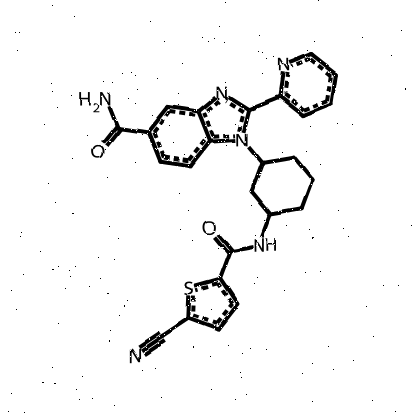 N#Cc1ccc(C(=O)NC2CCCC(n3c(-c4ccccn4)nc4cc(C(N)=O)ccc43)C2)s1